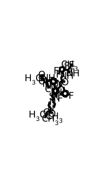 C[C@H]1CC(F)(F)C(NCC(=O)N[C@@H](Cc2cc(F)cc(F)c2)c2nc3nc(N4CCN(C(=O)OC(C)(C)C)CC4)sc3cc2-c2cccc3c(NS(C)(=O)=O)nn(C)c23)=C1C(=N)C(F)(F)F